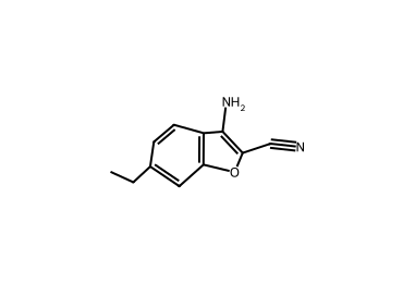 CCc1ccc2c(N)c(C#N)oc2c1